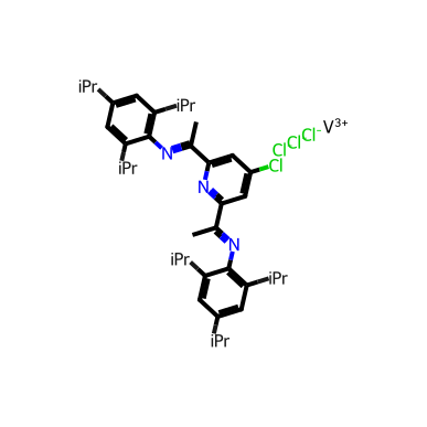 CC(=Nc1c(C(C)C)cc(C(C)C)cc1C(C)C)c1cc(Cl)cc(C(C)=Nc2c(C(C)C)cc(C(C)C)cc2C(C)C)n1.[Cl-].[Cl-].[Cl-].[V+3]